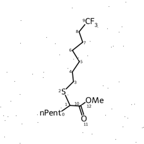 CCCCCC(SCCCCCCC(F)(F)F)C(=O)OC